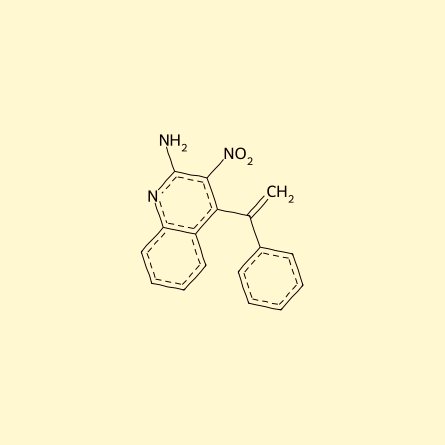 C=C(c1ccccc1)c1c([N+](=O)[O-])c(N)nc2ccccc12